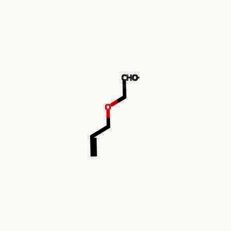 C=CCOC[C]=O